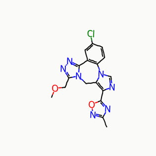 COCc1nnc2n1Cc1c(-c3nc(C)no3)ncn1-c1ccc(Cl)cc1-2